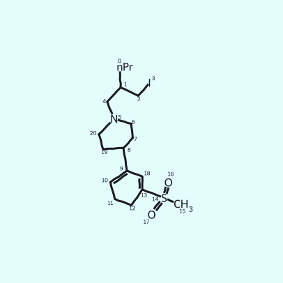 CCCC(CI)CN1CCC(C2=CCCC(S(C)(=O)=O)=C2)CC1